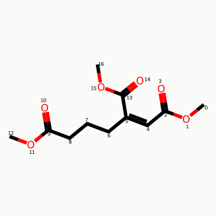 COC(=O)/C=C(/CCCC(=O)OC)C(=O)OC